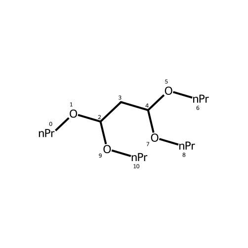 CCCOC(CC(OCCC)OCCC)OCCC